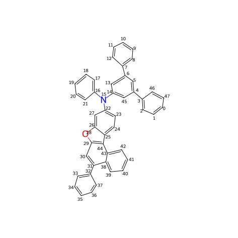 c1ccc(-c2cc(-c3ccccc3)cc(N(c3ccccc3)c3ccc4c(c3)oc3cc(-c5ccccc5)c5ccccc5c34)c2)cc1